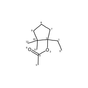 CCC1(OC(C)=O)CCCC1(C)C